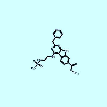 COC(=O)c1ccc2c(c1)[nH]c1nc(Cc3ccccc3)nc(NCCNS(C)(=O)=O)c12